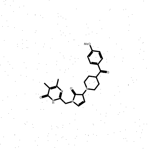 COc1ccc(C(=O)C2CCN(C3C=CN(Cc4nc(C)c(C)c(=O)[nH]4)C3=O)CC2)cc1